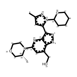 Cc1cc(-c2nsc3c(CO)cc(N4CCOC[C@H]4C)nc23)n(C2CCCCO2)n1